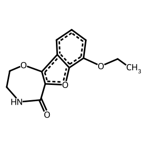 CCOc1cccc2c3c(oc12)C(=O)NCCO3